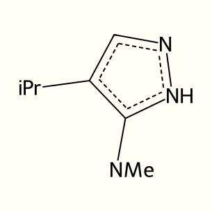 CNc1[nH]ncc1C(C)C